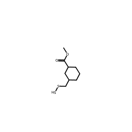 COC(=O)C1CCCC(CSS)C1